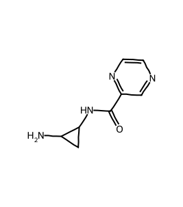 NC1CC1NC(=O)c1cnccn1